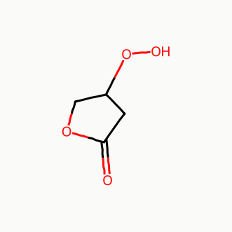 O=C1CC(OO)CO1